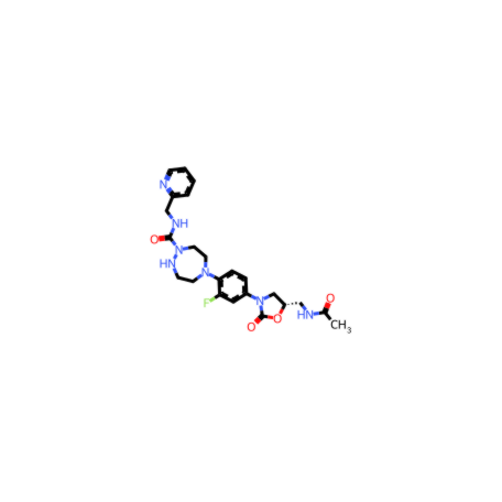 CC(=O)NC[C@H]1CN(c2ccc(N3CCNN(C(=O)NCc4ccccn4)CC3)c(F)c2)C(=O)O1